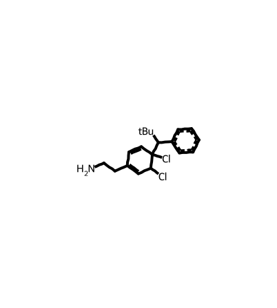 CC(C)(C)C(c1ccccc1)C1(Cl)C=CC(CCN)=CC1Cl